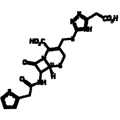 O=C(O)Cc1nnc(SCC2=C(C(=O)O)N3C(=O)C(NC(=O)Cc4cccs4)[C@H]3SC2)[nH]1